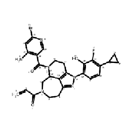 C=CC(=O)N1CCc2nn(-c3ccc(C4CC4)c(F)c3O)c3c2[C@H](C1)N(C(=O)c1cnc(Br)cc1N)CC3